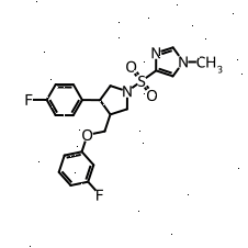 Cn1cnc(S(=O)(=O)N2CC(COc3cccc(F)c3)C(c3ccc(F)cc3)C2)c1